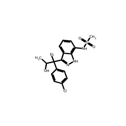 CCC(c1ccc(Cl)cc1)(c1n[nH]c2c(NS(C)(=O)=O)cccc12)C(C)O